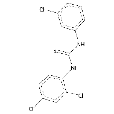 S=C(Nc1cccc(Cl)c1)Nc1ccc(Cl)cc1Cl